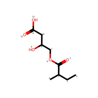 CCC(C)C(=O)OCC(O)CC(=O)O